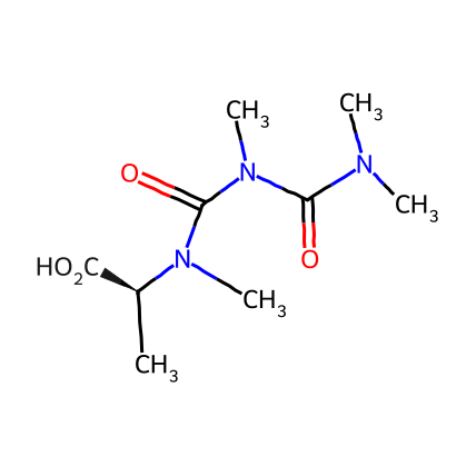 C[C@@H](C(=O)O)N(C)C(=O)N(C)C(=O)N(C)C